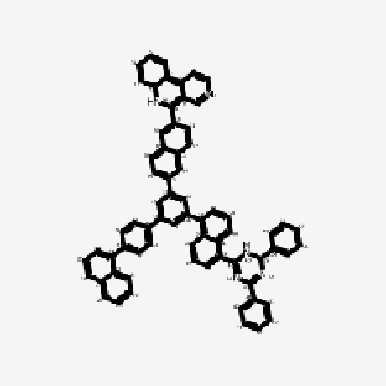 C1=CC2=c3ccncc3=C(c3ccc4cc(-c5cc(-c6ccc(-c7cccc8ccccc78)cc6)cc(-c6cccc7c(C8=NC(c9ccccc9)=NC(c9ccccc9)N8)cccc67)c5)ccc4c3)NC2C=C1